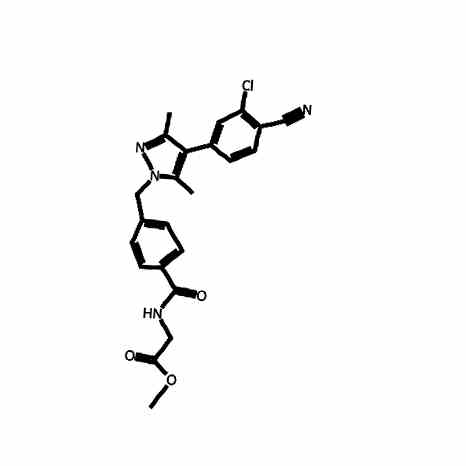 COC(=O)CNC(=O)c1ccc(Cn2nc(C)c(-c3ccc(C#N)c(Cl)c3)c2C)cc1